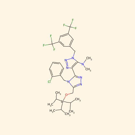 CC(C)[Si](OCc1nnc(-c2nnn(Cc3cc(C(F)(F)F)cc(C(F)(F)F)c3)c2N(C)C)n1Cc1ccccc1Cl)(C(C)C)C(C)C